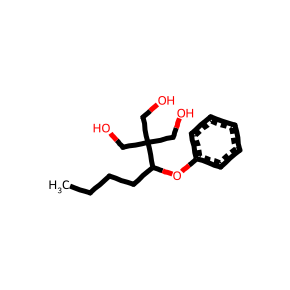 CCCCC(Oc1ccccc1)C(CO)(CO)CO